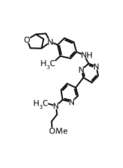 COCCN(C)c1ccc(-c2ccnc(Nc3ccc(N4CC5CC4CO5)c(C)c3)n2)cn1